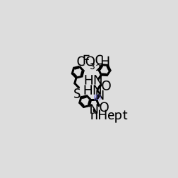 CCCCCCCN1C(=O)/C(=N/NC(=O)Nc2cccc(C(F)(F)F)c2)c2cc(SCCc3ccc(C(=O)O)cc3)ccc21